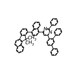 CC1(C)c2c(cccc2-c2ccc(-c3cc(-c4ccc(-c5ccccc5)cc4-c4ccccc4)nc(-c4ccccc4)n3)c3ccccc23)-c2ccc3ccccc3c21